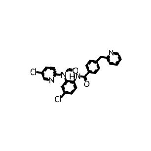 O=CN(c1ccc(Cl)cn1)c1cc(Cl)ccc1NC(=O)c1ccc(Cc2ccccn2)cc1